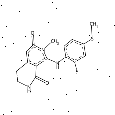 CSc1ccc(Nc2c3c(cc(=O)n2C)CCNC3=O)c(F)c1